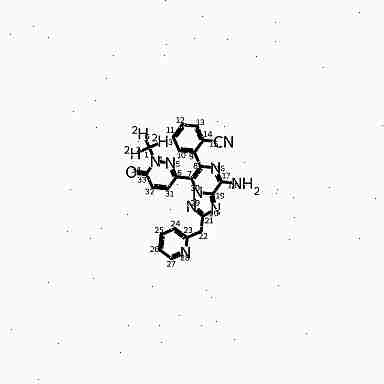 [2H]C([2H])([2H])n1nc(-c2c(-c3ccccc3C#N)nc(N)c3nc(Cc4ccccn4)nn23)ccc1=O